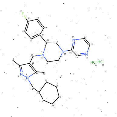 Cc1nn(CC2CCCCC2)c(C)c1CN1CCN(c2cnccn2)CC1c1ccc(F)cc1.Cl.Cl